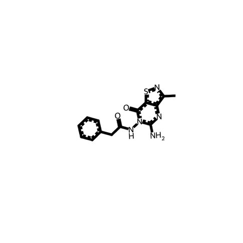 Cc1nsc2c(=O)n(NC(=O)Cc3ccccc3)c(N)nc12